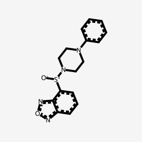 [O-][S+](c1cccc2nonc12)N1CCN(c2ccccc2)CC1